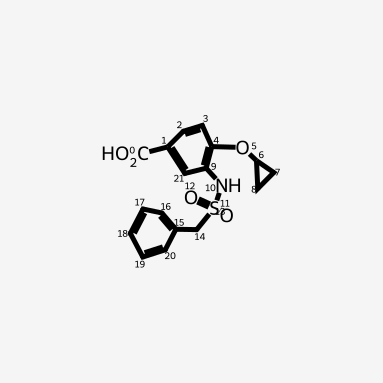 O=C(O)c1ccc(OC2CC2)c(NS(=O)(=O)Cc2ccccc2)c1